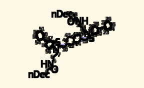 CCCCCCCCCCCC(=O)NCCCN1/C(=C/C2=CC3=C/C(=C/c4sc5cc(-c6ccccc6)ccc5[n+]4CCCNC(=O)CCCCCCCCCCC)CCC3CC2)Sc2cc(-c3ccccc3)ccc21